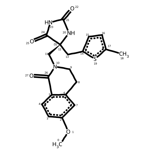 COc1ccc2c(c1)CCN(C[C@]1(Cc3ccc(C)s3)NC(=O)NC1=O)C2=O